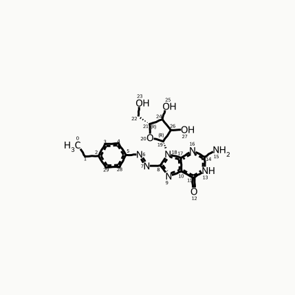 CCc1ccc(N=Nc2nc3c(=O)[nH]c(N)nc3n2[C@@H]2O[C@H](CO)C(O)C2O)cc1